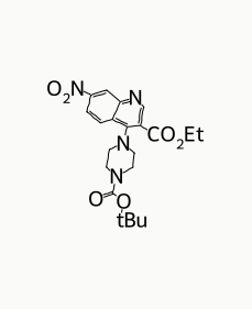 CCOC(=O)c1cnc2cc([N+](=O)[O-])ccc2c1N1CCN(C(=O)OC(C)(C)C)CC1